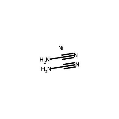 N#CN.N#CN.[Ni]